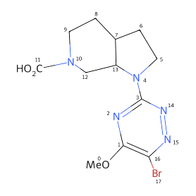 COc1nc(N2CCC3CCN(C(=O)O)CC32)nnc1Br